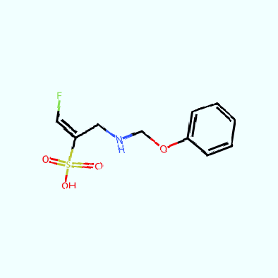 O=S(=O)(O)/C(=C/F)CNCOc1ccccc1